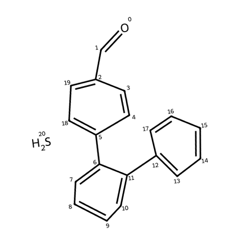 O=Cc1ccc(-c2ccccc2-c2ccccc2)cc1.S